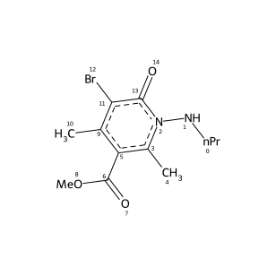 CCCNn1c(C)c(C(=O)OC)c(C)c(Br)c1=O